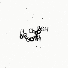 Cc1sc2c3c(ccc2c1O)N(C(=O)c1cc2cc(OCCC(=O)c4ccc[nH]4)ccc2[nH]1)C[C@@H]3CCl